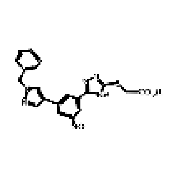 O=Nc1cc(-c2cnn(Cc3ccccc3)c2)cc(-c2nnc(SCC(=O)O)[nH]2)c1